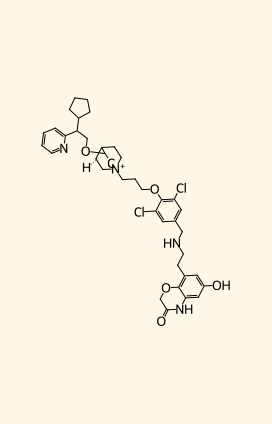 O=C1COc2c(CCNCc3cc(Cl)c(OCCC[N+]45CCC(CC4)[C@H](OCC(c4ccccn4)C4CCCC4)C5)c(Cl)c3)cc(O)cc2N1